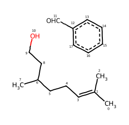 CC(C)=CCCC(C)CCO.O=Cc1ccccc1